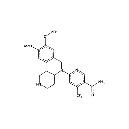 CCCOc1cc(CN(c2cc(C(F)(F)F)c(C(N)=O)cn2)C2CCNCC2)ccc1OC